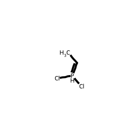 CC=[PH](Cl)Cl